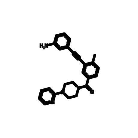 Cc1ccc(C(=O)N2CCN(c3ccccn3)CC2)cc1C#Cc1cccc(N)c1